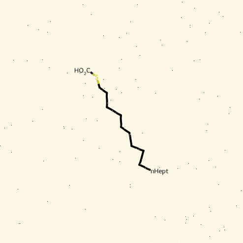 CCCCCCCCCCCCCCCCSC(=O)O